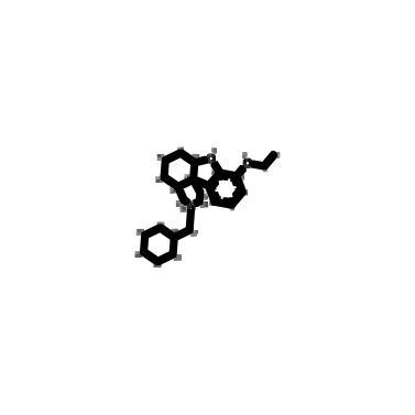 CCOc1cccc2c1OC1CCCC3CN(CC4CCCCC4)CCC231